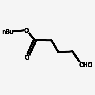 CCCCOC(=O)CCCC=O